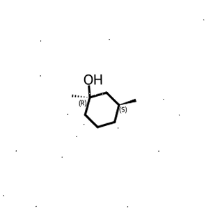 C[C@H]1CCC[C@@](C)(O)C1